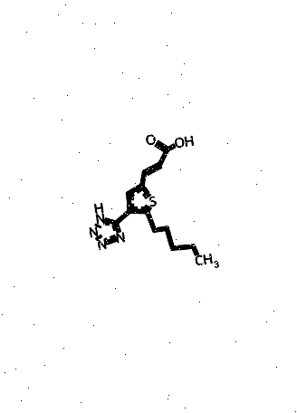 CCCCCc1sc(C=CC(=O)O)cc1-c1nnn[nH]1